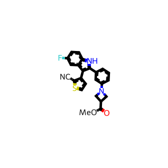 COC(=O)C1CN(c2cccc(-c3[nH]c4ccc(F)cc4c3-c3ccsc3C#N)c2)C1